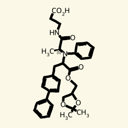 C[C@@H](C(=O)NCCC(=O)O)N(c1ccccc1)C(Cc1ccc(-c2ccccc2)cc1)C(=O)OCC1COC(C)(C)O1